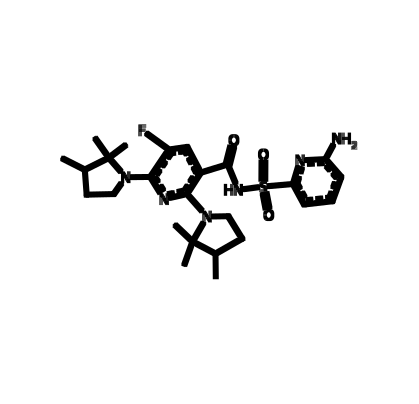 CC1CCN(c2nc(N3CCC(C)C3(C)C)c(C(=O)NS(=O)(=O)c3cccc(N)n3)cc2F)C1(C)C